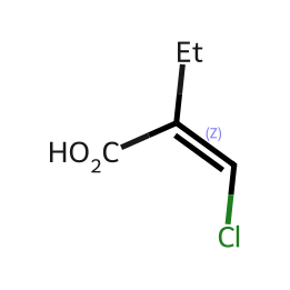 CC/C(=C/Cl)C(=O)O